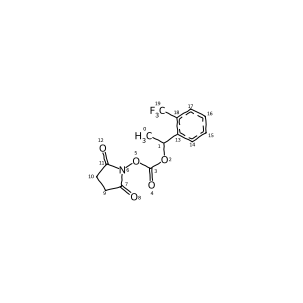 CC(OC(=O)ON1C(=O)CCC1=O)c1ccccc1C(F)(F)F